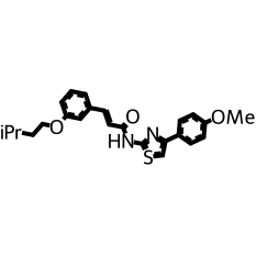 COc1ccc(-c2csc(NC(=O)C=Cc3cccc(OCCC(C)C)c3)n2)cc1